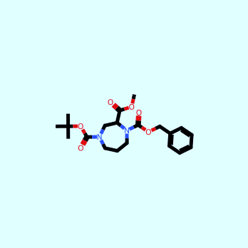 COC(=O)C1CN(C(=O)OC(C)(C)C)CCCN1C(=O)OCc1ccccc1